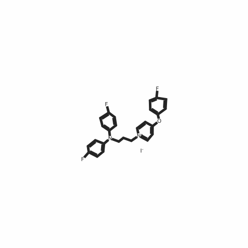 Fc1ccc(Oc2cc[n+](CCCN(c3ccc(F)cc3)c3ccc(F)cc3)cc2)cc1.[I-]